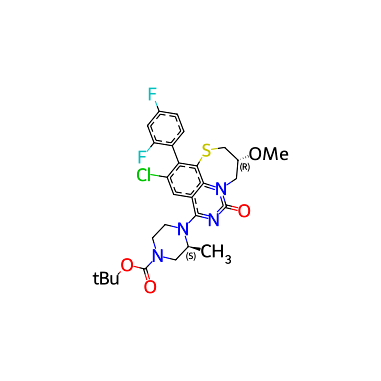 CO[C@H]1CSc2c(-c3ccc(F)cc3F)c(Cl)cc3c(N4CCN(C(=O)OC(C)(C)C)C[C@@H]4C)nc(=O)n(c23)C1